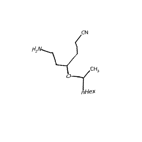 CCCCCCC(C)OC(CCN)CCC#N